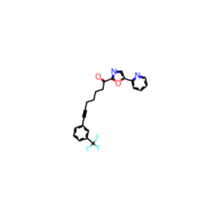 O=C(CCCCC#Cc1cccc(C(F)(F)F)c1)c1ncc(-c2ccccn2)o1